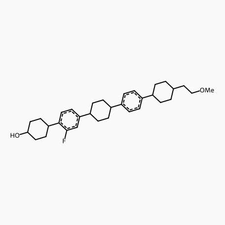 COCCC1CCC(c2ccc(C3CCC(c4ccc(C5CCC(O)CC5)c(F)c4)CC3)cc2)CC1